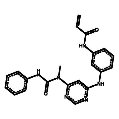 C=CC(=O)Nc1cccc(Nc2cc(N(C)C(=O)Nc3ccccc3)ncn2)c1